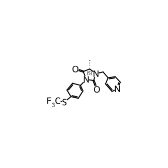 C[C@H]1C(=O)N(c2ccc(SC(F)(F)F)cc2)C(=O)N1Cc1ccncc1